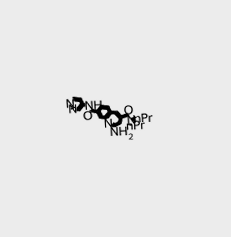 CCCN(CCC)C(=O)C1=Cc2ccc(C(=O)Nc3ccnnc3)cc2N=C(N)C1